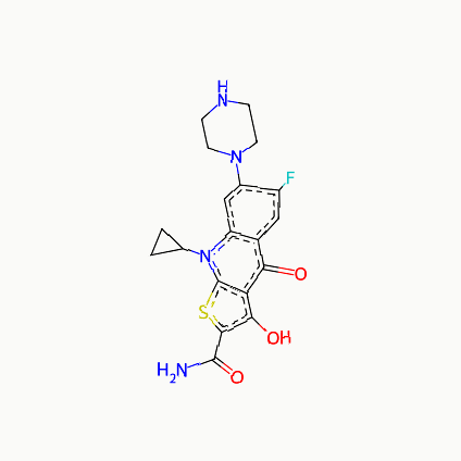 NC(=O)c1sc2c(c1O)c(=O)c1cc(F)c(N3CCNCC3)cc1n2C1CC1